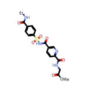 CCNC(=O)c1ccc(S(=O)(=O)NC(=O)c2ccc(C(=O)NCC(=O)OC)nc2)cc1